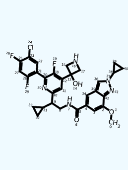 COc1cc(C(=O)NCC(c2cc(C3(O)CNC3)c(F)c(-c3cc(Cl)c(F)cc3F)n2)C2CC2)cc2cn(C3CC3)nc12